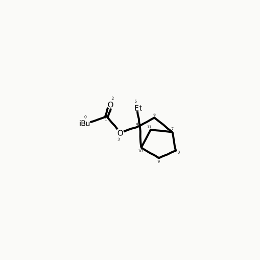 CCC(C)C(=O)OC1(CC)CC2CCC1C2